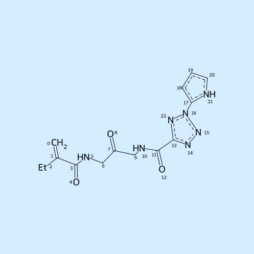 C=C(CC)C(=O)NCC(=O)CNC(=O)c1nnn(-c2ccc[nH]2)n1